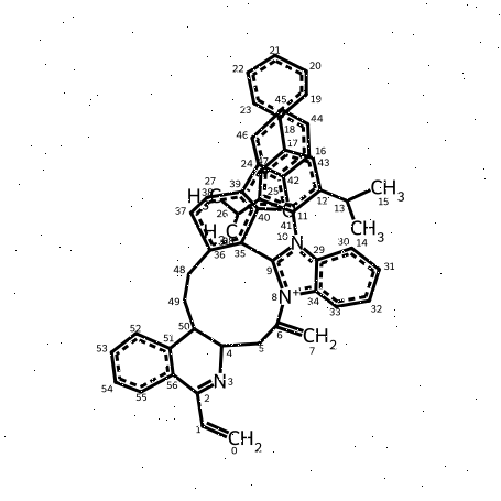 C=CC1=NC2CC(=C)[n+]3c(n(-c4c(C(C)C)cc(-c5ccccc5)cc4C(C)C)c4ccccc43)-c3c(ccc4c3oc3ccccc34)CCC2c2ccccc21